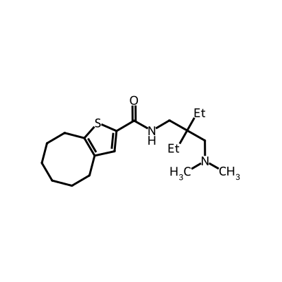 CCC(CC)(CNC(=O)c1cc2c(s1)CCCCCC2)CN(C)C